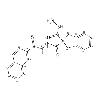 NNC(=O)C1(C(=O)NNC(=O)c2ccc3ccccc3c2)Cc2ccccc2C1